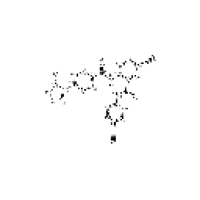 C#Cc1ccc(NC(=O)c2cc(C#C)ccc2NC(=O)c2ccc(C3=NCCN3C)cc2)cc1